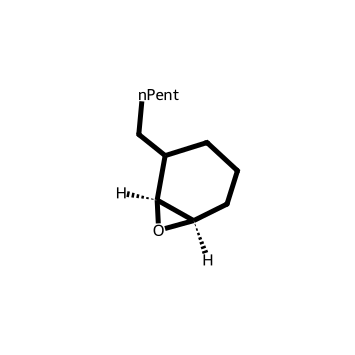 CCCCCCC1CCC[C@H]2O[C@@H]12